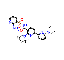 CCN(CC)c1cccc(-c2ccc(C(=O)NS(=O)(=O)c3cccnc3N)c(N3C[C@@H](C)CC3(C)C)n2)n1